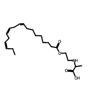 CC/C=C\C/C=C\C/C=C\CCCCCCCC(=O)OCCNC(C)C(=O)O